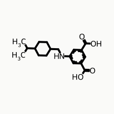 CC(C)C1CCC(CNc2cc(C(=O)O)cc(C(=O)O)c2)CC1